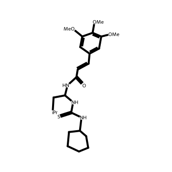 COc1cc(C=CC(=O)NC(CC(C)C)NC(=S)NC2CCCCC2)cc(OC)c1OC